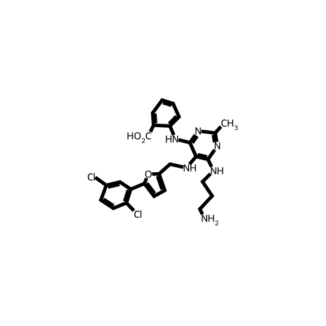 Cc1nc(NCCCN)c(NCc2ccc(-c3cc(Cl)ccc3Cl)o2)c(Nc2ccccc2C(=O)O)n1